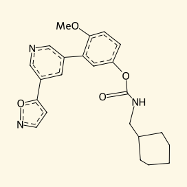 COc1ccc(OC(=O)NCC2CCCCC2)cc1-c1cncc(-c2ccno2)c1